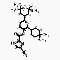 CC1(C)CCC(c2nc(C3CC(C)(C)OC(C)(C)C3)ccc2NC(=O)c2nc(C#N)c[nH]2)CC1